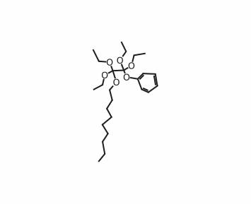 CCCCCCCCCOC(OCC)(OCC)C(OCC)(OCC)Oc1ccccc1